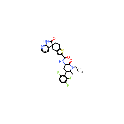 CC1C(c2c(F)ccc(F)c2F)CC(NC(=O)c2cc3c(s2)CCC2(C3)C(=O)Nc3ncccc32)C(=O)N1CC(F)(F)F